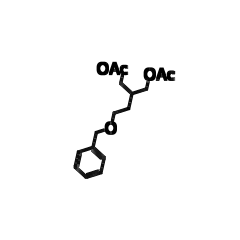 CC(=O)OCC(CCOCc1ccccc1)COC(C)=O